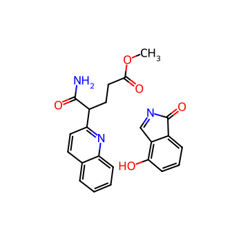 COC(=O)CCC(C(N)=O)c1ccc2ccccc2n1.O=C1N=Cc2c(O)cccc21